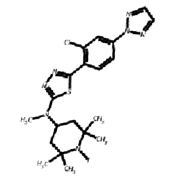 CN(c1nnc(-c2ccc(-n3nccn3)cc2Cl)s1)C1CC(C)(C)N(I)C(C)(C)C1